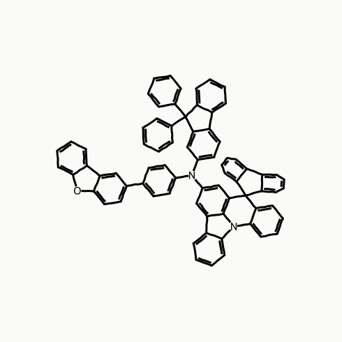 c1ccc(C2(c3ccccc3)c3ccccc3-c3ccc(N(c4ccc(-c5ccc6oc7ccccc7c6c5)cc4)c4cc5c6c(c4)c4ccccc4n6-c4ccccc4C54c5ccccc5-c5ccccc54)cc32)cc1